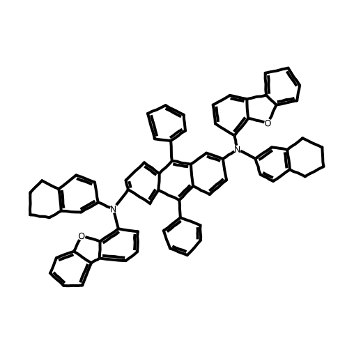 c1ccc(-c2c3ccc(N(c4ccc5c(c4)CCCC5)c4cccc5c4oc4ccccc45)cc3c(-c3ccccc3)c3ccc(N(c4ccc5c(c4)CCCC5)c4cccc5c4oc4ccccc45)cc23)cc1